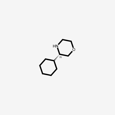 C1CCC([C@H]2COCCN2)CC1